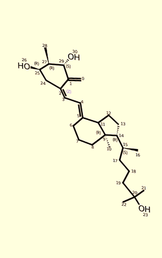 C=C1/C(=C\C=C2CCC[C@@]3(C)C2CC[C@@H]3[C@@H](C)CCCC(C)(C)O)C[C@@H](O)[C@@H](C)[C@@H]1O